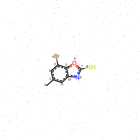 Cc1cc(Br)c2oc(S)nc2c1